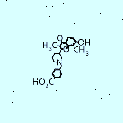 Cc1c(C2CCCN(Cc3ccc(C(=O)O)cc3)C2)oc2c(C)c(O)ccc2c1=O